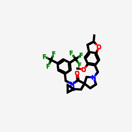 COc1cc2c(cc1CN1CCC(CC3CC3)(C(=O)NCc3cc(C(F)(F)F)cc(C(F)(F)F)c3)C1)OC(C)C2